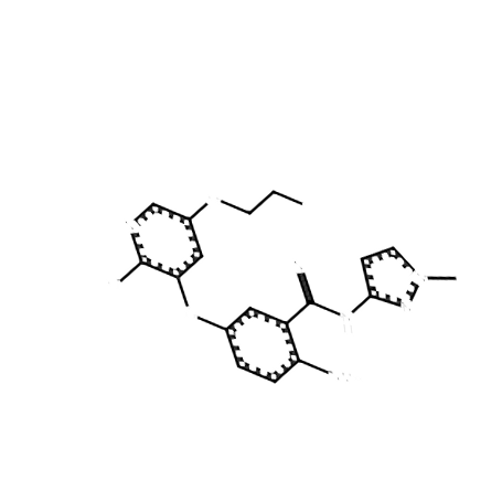 CNc1ccc(Oc2cc(OCCO)cnc2Cl)cc1C(=N)Nc1ccn(C)n1